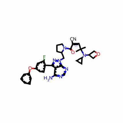 CC(C)(/C=C(/C#N)C(=O)N1CCCC1Cn1nc(-c2ccc(Oc3ccccc3)cc2F)c2c(N)ncnc21)N(C1CC1)C1COC1